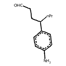 CCCC(CC[C]=O)c1ccc(N)cc1